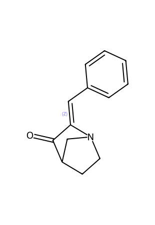 O=C1/C(=C/c2ccccc2)N2CCC1C2